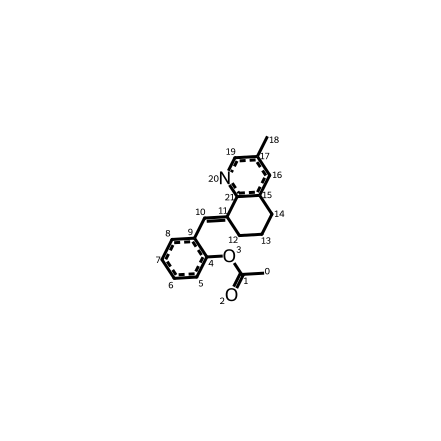 CC(=O)Oc1ccccc1C=C1CCCc2cc(C)cnc21